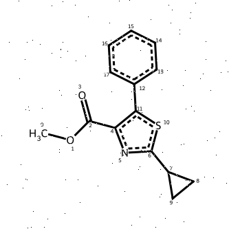 COC(=O)c1nc(C2CC2)sc1-c1ccccc1